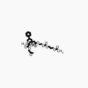 CCC(CC(C)(CC(=O)OCCOC(=O)OCCCOC(C)=O)CC(C)(C)C(=O)OCC1CO1)c1ccccc1